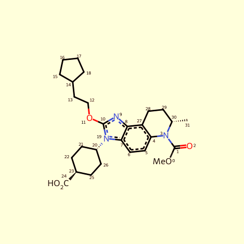 COC(=O)N1c2ccc3c(nc(OCCC4CCCC4)n3[C@H]3CC[C@H](C(=O)O)CC3)c2CC[C@@H]1C